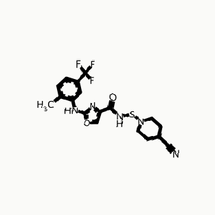 Cc1ccc(C(F)(F)F)cc1Nc1nc(C(=O)NSN2CCC(C#N)CC2)co1